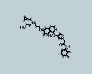 O=C(Cn1cc([AsH]c2ncnc3cc(OCCCN(CCO)CC4CC4)c(F)cc23)cn1)Nc1cccc(F)c1F